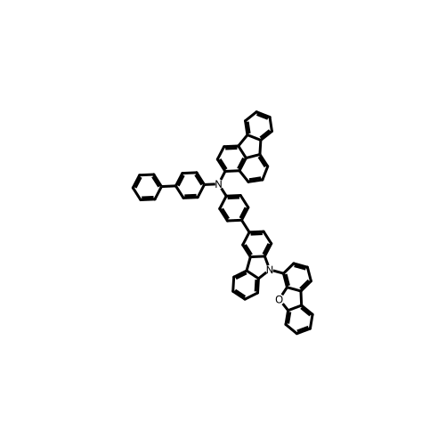 c1ccc(-c2ccc(N(c3ccc(-c4ccc5c(c4)c4ccccc4n5-c4cccc5c4oc4ccccc45)cc3)c3ccc4c5c(cccc35)-c3ccccc3-4)cc2)cc1